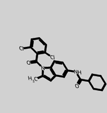 Cc1cc2cc(NC(=O)C3CCCCC3)ccc2n1C(=O)c1c(Cl)cccc1Cl